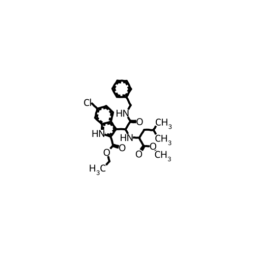 CCOC(=O)c1[nH]c2cc(Cl)ccc2c1C(NC(CC(C)C)C(=O)OC)C(=O)NCc1ccccc1